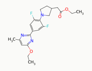 CCOC(=O)CC1CCN(c2c(F)cc(-c3nc(C)cc(OCC)n3)cc2F)C1